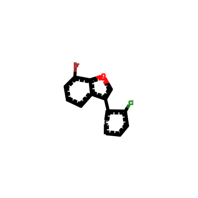 Clc1ccccc1-c1coc2c(Br)cccc12